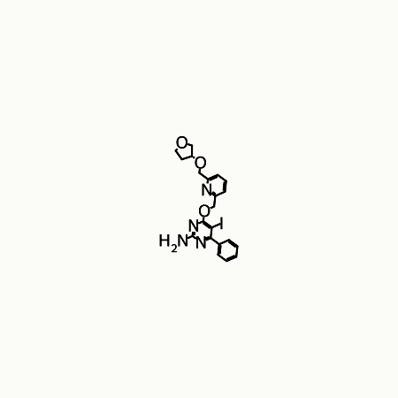 Nc1nc(OCc2cccc(CO[C@H]3CCOC3)n2)c(I)c(-c2ccccc2)n1